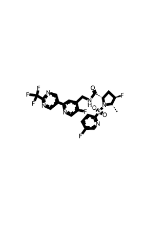 C[C@H]1[C@H](F)C[C@@H](C(=O)NCc2cc(-c3cnc(C(F)(F)F)nc3)ncc2F)N1S(=O)(=O)c1ccc(F)cn1